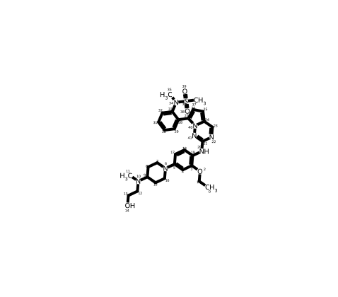 CCOc1cc(N2CCC(N(C)CCO)CC2)ccc1Nc1ncc2ccc(-c3ccccc3N(C)S(C)(=O)=O)n2n1